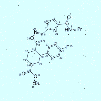 CC(C)NC(=O)c1csc(-c2cc(C3CCN(C(=O)OC(C)(C)C)CC3c3ccc(F)cc3)on2)n1